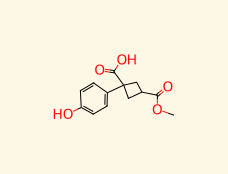 COC(=O)C1CC(C(=O)O)(c2ccc(O)cc2)C1